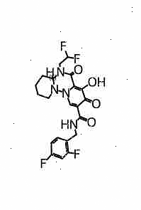 O=C(NCc1ccc(F)cc1F)c1cn2c(c(O)c1=O)C(=O)N(CC(F)F)[C@@H]1CCCCN12